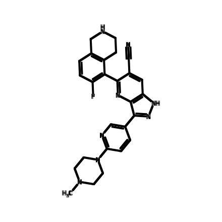 CN1CCN(c2ccc(-c3n[nH]c4cc(C#N)c(-c5c(F)ccc6c5CCNC6)nc34)cn2)CC1